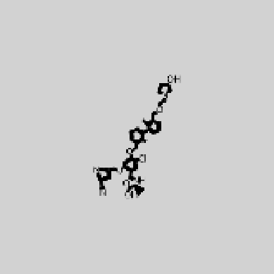 Cc1c(COCCN2CC[C@@H](O)C2)cccc1-c1cccc(COc2cc(OCc3cncc(C#N)c3)c(CNC3(C(=O)O)CC3)cc2Cl)c1C